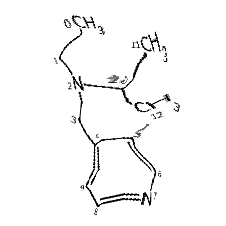 CCN(Cc1ccncc1)C(C)C